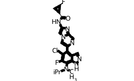 CC(C)N(C)c1c(F)c(Cl)c(-c2cn3cc(NC(=O)[C@@H]4C[C@@H]4F)nc3cn2)c2cn[nH]c12